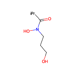 CC(C)C(=O)N(O)CCCO